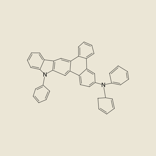 C1=CCC(N(c2ccccc2)c2ccc3c(c2)c2ccccc2c2cc4c5ccccc5n(-c5ccccc5)c4cc32)C=C1